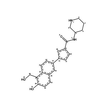 O=C(NC1CCCNC1)c1ccc(-c2ccc3c(CO)c(O)ccc3c2)o1